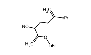 C=C(CCC)CCC(C#N)C(=C)OCCC